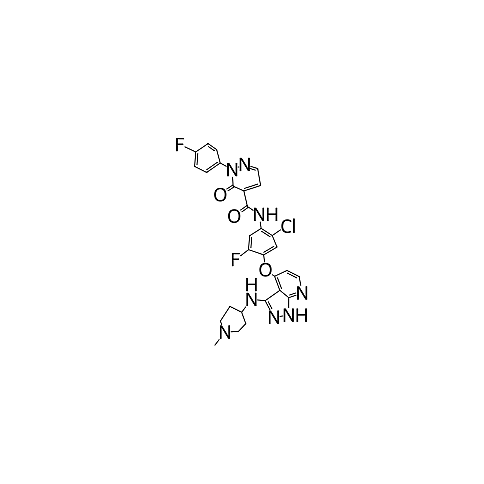 CN1CCC(Nc2n[nH]c3nccc(Oc4cc(Cl)c(NC(=O)c5ccnn(-c6ccc(F)cc6)c5=O)cc4F)c23)CC1